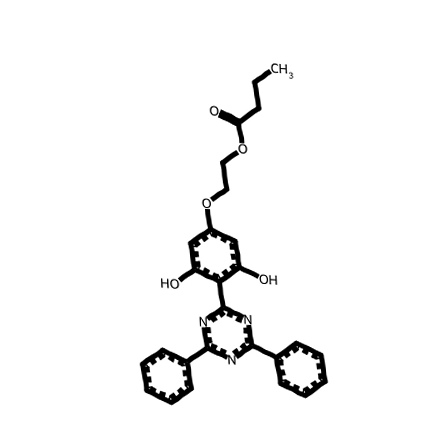 CCCC(=O)OCCOc1cc(O)c(-c2nc(-c3ccccc3)nc(-c3ccccc3)n2)c(O)c1